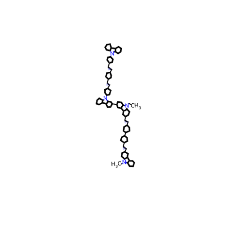 CCn1c2ccccc2c2cc(/C=C/c3ccc(-c4ccc(/C=C/c5ccc6c(c5)c5cc(-c7ccc8c9ccccc9n(-c9ccc(/C=C/c%10ccc(/C=C/c%11ccc(-n%12c%13ccccc%13c%13ccccc%13%12)cc%11)cc%10)cc9)c8c7)ccc5n6CC)cc4)cc3)ccc21